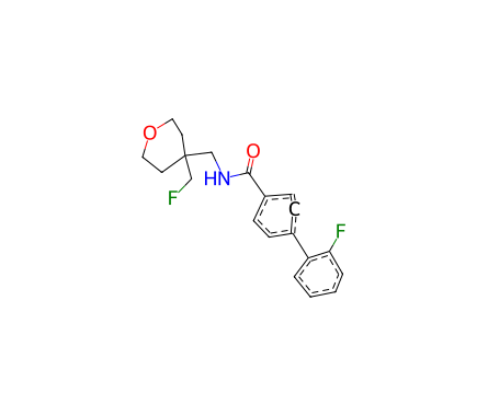 O=C(NCC1(CF)CCOCC1)c1ccc(-c2ccccc2F)cc1